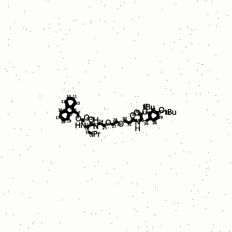 CC(C)C[C@H](NC(=O)OCC1c2ccccc2-c2ccccc21)C(=O)NCCOCCOCCC(=O)N[C@@H](Cc1ccc(OC(C)(C)C)cc1)C(=O)OC(C)(C)C